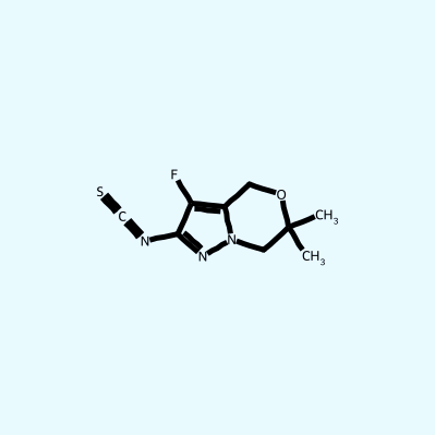 CC1(C)Cn2nc(N=C=S)c(F)c2CO1